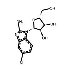 Nc1nc2cc(Cl)ccc2n1[C@@H]1O[C@H](CO)[C@@H](O)[C@H]1O